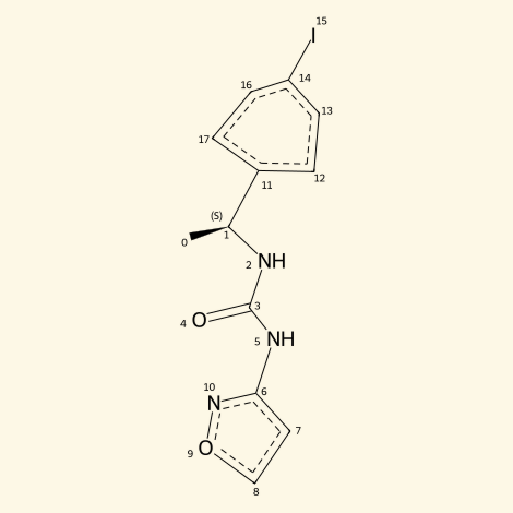 C[C@H](NC(=O)Nc1ccon1)c1ccc(I)cc1